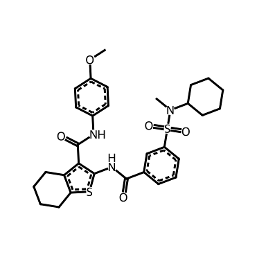 COc1ccc(NC(=O)c2c(NC(=O)c3cccc(S(=O)(=O)N(C)C4CCCCC4)c3)sc3c2CCCC3)cc1